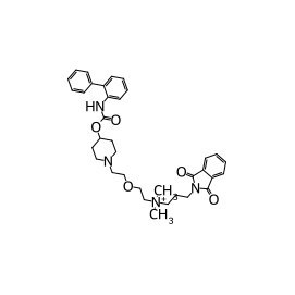 C[N+](C)(CCCN1C(=O)c2ccccc2C1=O)CCOCCN1CCC(OC(=O)Nc2ccccc2-c2ccccc2)CC1